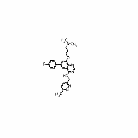 Cc1ccc(CNc2ncnc3c(OCCCN(C)C)cc(-c4ccc(F)cc4)cc23)nn1